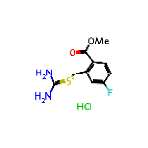 COC(=O)c1ccc(F)cc1C[S+]=C(N)N.Cl